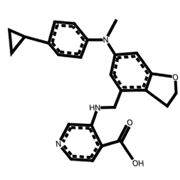 CN(c1ccc(C2CC2)cc1)c1cc(CNc2cnccc2C(=O)O)c2c(c1)OCC2